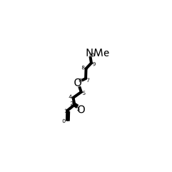 C=CC(=O)CCOCCCNC